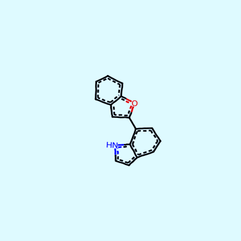 c1ccc2oc(-c3cccc4cc[nH]c34)cc2c1